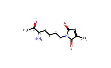 BC1=CC(=O)N(CCCC[C@H](N)C(C)=O)C1=O